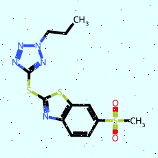 CCCn1nnc(Sc2nc3ccc(S(C)(=O)=O)cc3s2)n1